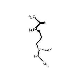 CN[S+]([O-])CCNC(C)=O